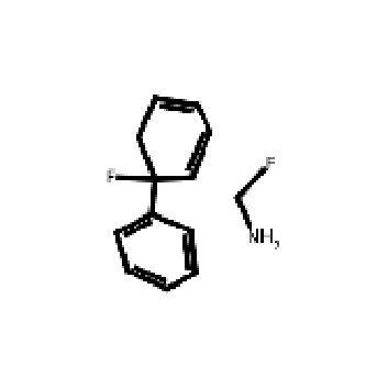 FC1(c2ccccc2)C=CC=CC1.NCF